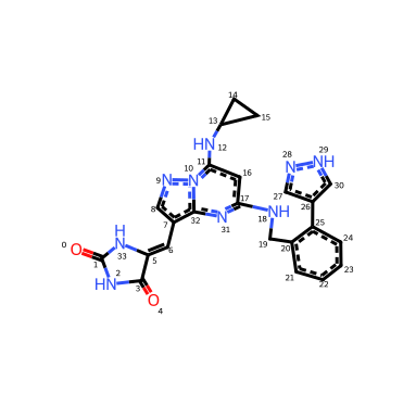 O=C1NC(=O)C(=Cc2cnn3c(NC4CC4)cc(NCc4ccccc4-c4cn[nH]c4)nc23)N1